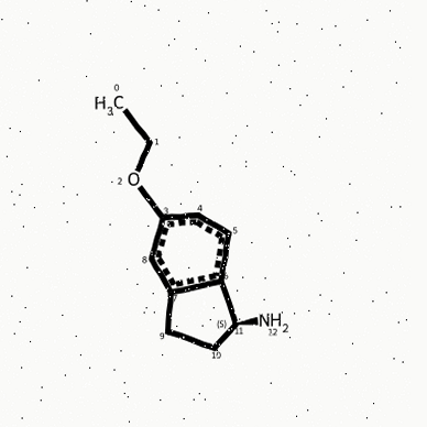 CCOc1ccc2c(c1)CC[C@@H]2N